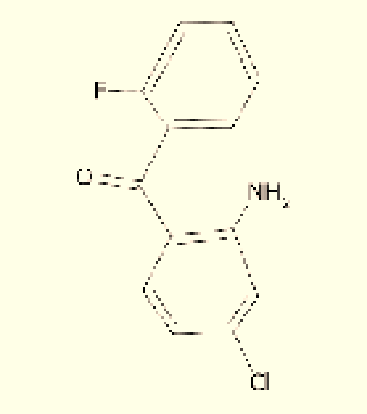 Nc1cc(Cl)ccc1C(=O)c1ccccc1F